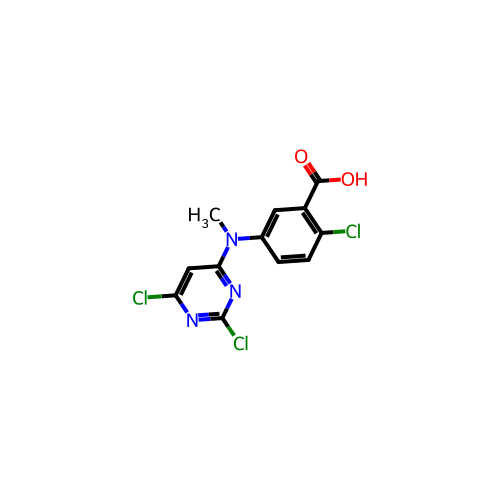 CN(c1ccc(Cl)c(C(=O)O)c1)c1cc(Cl)nc(Cl)n1